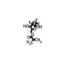 C=C(C)C(=O)OCC1OC(O)(C(F)(F)F)C(F)(F)C1O